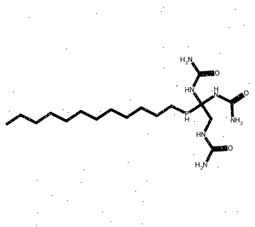 CCCCCCCCCCCCPC(CNC(N)=O)(NC(N)=O)NC(N)=O